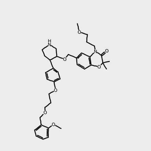 COCCCN1C(=O)C(C)(C)Oc2ccc(COC3CNCCC3c3ccc(OCCCOCc4ccccc4OC)cc3)cc21